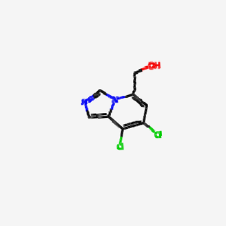 OCc1cc(Cl)c(Cl)c2cncn12